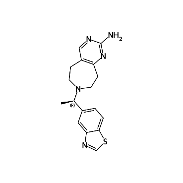 C[C@H](c1ccc2scnc2c1)N1CCc2cnc(N)nc2CC1